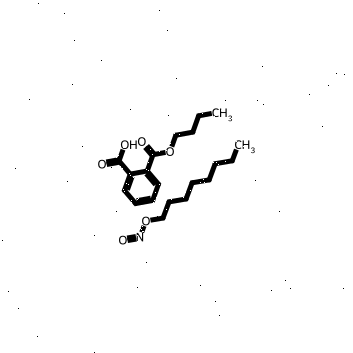 CCCCCCCCON=O.CCCCOC(=O)c1ccccc1C(=O)O